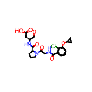 O=C[C@H](CC(=O)O)NC(=O)[C@@H]1CCCN1C(=O)CNC(=O)c1cccc(OC2CC2)c1Cl